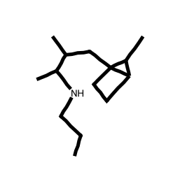 CCCNC(C)C(C)CC12CCC1C2C